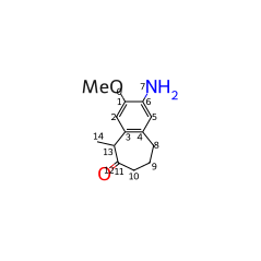 COc1cc2c(cc1N)CCCC(=O)C2C